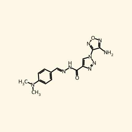 CN(C)c1ccc(C=NNC(=O)c2cn(-c3nonc3N)nn2)cc1